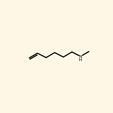 C=CCCC[CH]NC